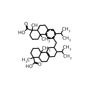 CC(C)c1cc2c(cc1CC1CC3=C(CCC4C(C)(C(=O)O)CCCC34C)CC1C(C)C)C1(C)CCCC(C)(C(=O)O)C1CC2